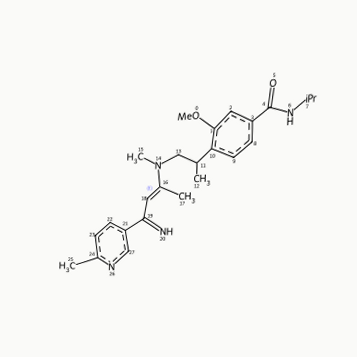 COc1cc(C(=O)NC(C)C)ccc1C(C)CN(C)/C(C)=C/C(=N)c1ccc(C)nc1